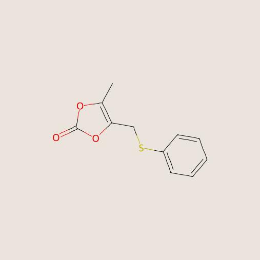 Cc1oc(=O)oc1CSc1ccccc1